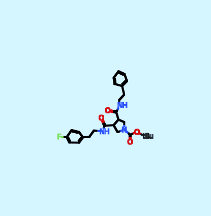 CC(C)(C)OC(=O)N1CC(C(=O)NCCc2ccccc2)C(C(=O)NCCc2ccc(F)cc2)C1